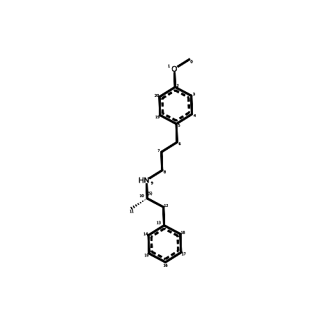 COc1ccc(CCCN[C@@H](C)Cc2ccccc2)cc1